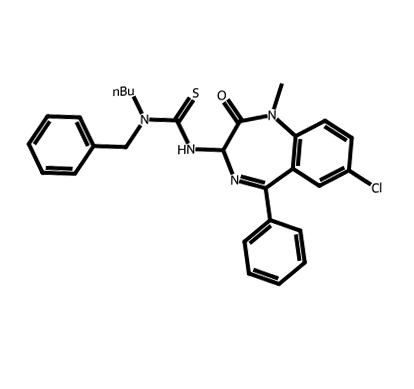 CCCCN(Cc1ccccc1)C(=S)NC1N=C(c2ccccc2)c2cc(Cl)ccc2N(C)C1=O